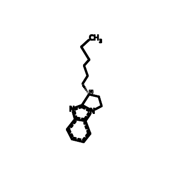 CCCCCC[C@@H]1CCn2c1nc1ccccc12